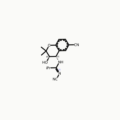 CC(C)/C(=N\C#N)N[C@H]1c2cc(C#N)ccc2OC(C)(C)[C@@H]1O